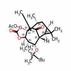 CC(=O)O[C@H]1C(C)=C[C@]23C(=O)[C@@H]([C@H](O[Si](C)(C)C(C)(C)C)[C@H](C)[C@H]4OC(=O)O[C@@]412)[C@H]1[C@@H](C[C@H]3C)C1(C)C